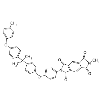 Cc1ccc(Oc2ccc(C(C)(C)c3ccc(Oc4ccc(-n5c(=O)c6cc7c(=O)n(C)c(=O)c7cc6c5=O)cc4)cc3)cc2)cc1